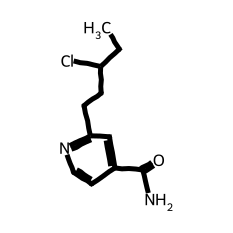 CCC(Cl)CCc1cc(C(N)=O)ccn1